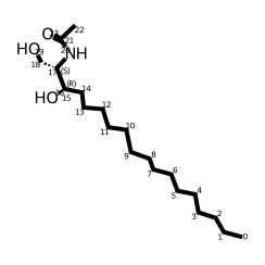 CCCCCCCCCCCCCCC[C@@H](O)[C@H](CO)NC(C)=O